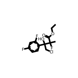 CCOC(=O)C(C)(F)C(O)(CCl)c1ccc(F)cc1F